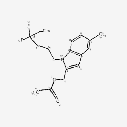 CC(=O)OCc1nc2cc(C)ccc2n1CCCC(F)(F)F